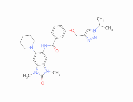 CC(C)n1cc(COc2cccc(C(=O)Nc3cc4c(cc3N3CCCCC3)n(C)c(=O)n4C)c2)nn1